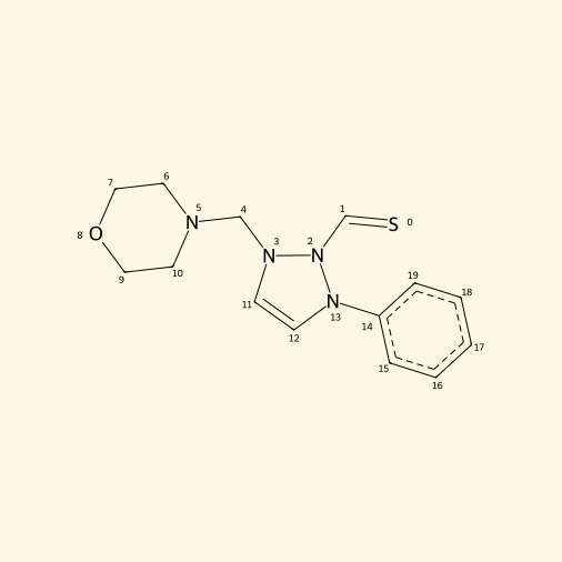 S=CN1N(CN2CCOCC2)C=CN1c1ccccc1